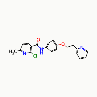 Cc1ccc(C(=O)Nc2ccc(OCCc3ccccn3)cc2)c(Cl)n1